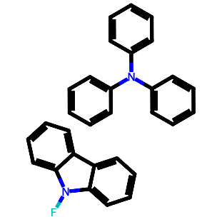 Fn1c2ccccc2c2ccccc21.c1ccc(N(c2ccccc2)c2ccccc2)cc1